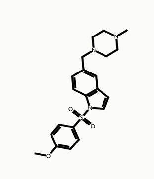 COc1ccc(S(=O)(=O)n2ccc3cc(CN4CCN(C)CC4)ccc32)cc1